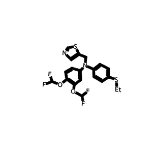 CCSc1ccc(N(Cc2cncs2)c2ccc(OC(F)F)c(OC(F)F)c2)cc1